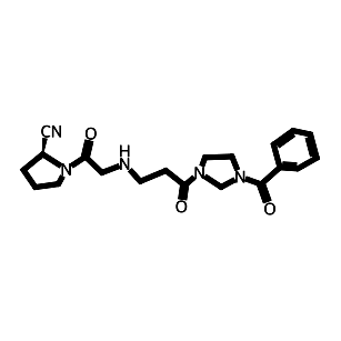 N#C[C@@H]1CCCN1C(=O)CNCCC(=O)N1CCN(C(=O)c2ccccc2)C1